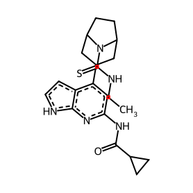 CCNC(=S)N1C2CCC1CC(c1cc(NC(=O)C3CC3)nc3[nH]ccc13)C2